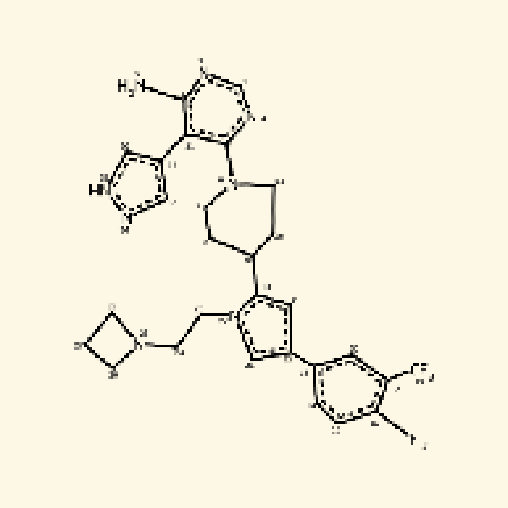 Nc1ncnc(N2CCC(c3cc(-c4ccc(F)c(C(F)(F)F)c4)cn3CCN3CCC3)CC2)c1-c1cn[nH]c1